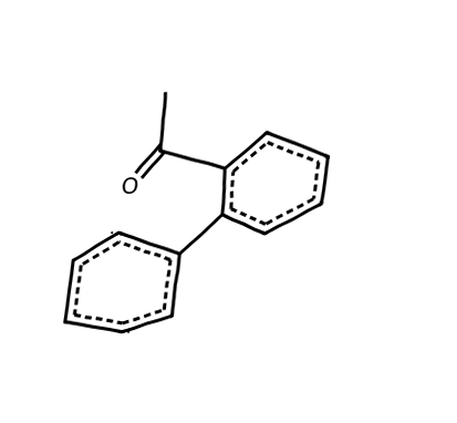 CC(=O)c1ccccc1-c1[c]cc[c]c1